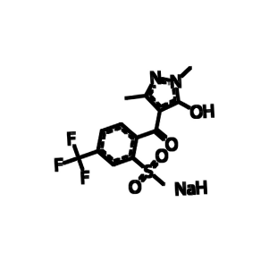 Cc1nn(C)c(O)c1C(=O)c1ccc(C(F)(F)F)cc1S(C)(=O)=O.[NaH]